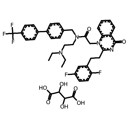 CCN(CC)CCN(Cc1ccc(-c2ccc(C(F)(F)F)cc2)cc1)C(=O)Cn1c(CCc2cc(F)ccc2F)nc(=O)c2ccccc21.O=C(O)C(O)C(O)C(=O)O